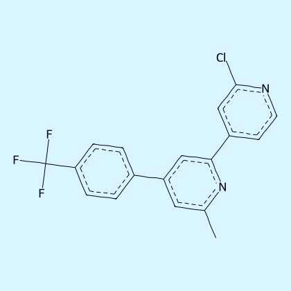 Cc1cc(-c2ccc(C(F)(F)F)cc2)cc(-c2ccnc(Cl)c2)n1